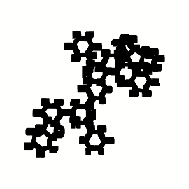 c1ccc(-c2nc(-c3ccc4c(c3)nc(-c3ccccc3)c3ccc5c(c34)Sc3ccccc3C53c4ccccc4-c4ccccc43)cc(-c3cccc4c3oc3ccccc34)n2)cc1